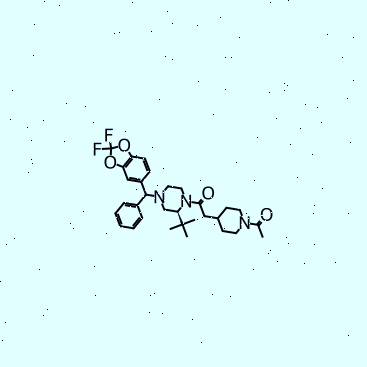 CC(=O)N1CCC(CC(=O)N2CCN(C(c3ccccc3)c3ccc4c(c3)OC(F)(F)O4)C[C@@H]2C(C)(C)C)CC1